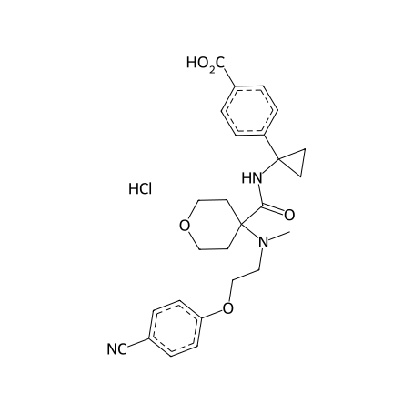 CN(CCOc1ccc(C#N)cc1)C1(C(=O)NC2(c3ccc(C(=O)O)cc3)CC2)CCOCC1.Cl